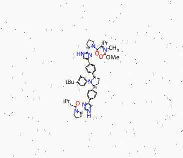 COC(=O)N(C)[C@H](C(=O)N1CCC[C@H]1c1nc(-c2ccc([C@H]3CC[C@H](c4ccc(-c5c[nH]c([C@@H]6CCCN6C(=O)[CH]C(C)C)n5)cc4)N3c3ccc(C(C)(C)C)cc3)cc2)c[nH]1)C(C)C